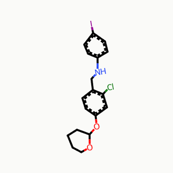 Clc1cc(OC2CCCCO2)ccc1CNc1ccc(I)cc1